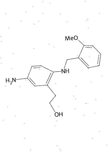 COc1ccccc1CNc1ccc(N)cc1CCO